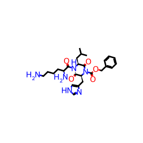 CC(C)C[C@H](NC(=O)[C@@H](N)CCCCN)C(=O)N(C(=O)OCc1ccccc1)[C@H]([C]=O)Cc1c[nH]cn1